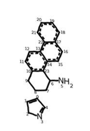 C1=CCN=C1.NC1CCCc2ccc3c(ccc4ccccc43)c21